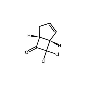 O=C1[C@@H]2CC=C[C@@H]2C1(Cl)Cl